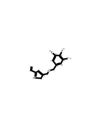 C=CC1=NCC(COCc2cc(F)c(F)c(F)c2)=C1